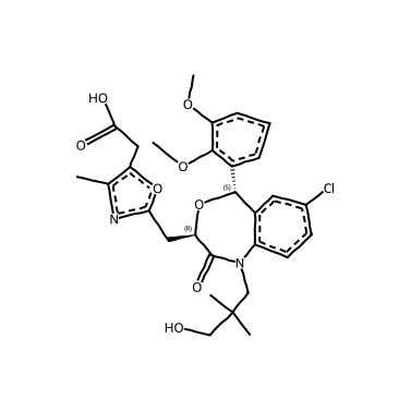 COc1cccc([C@H]2O[C@H](Cc3nc(C)c(CC(=O)O)o3)C(=O)N(CC(C)(C)CO)c3ccc(Cl)cc32)c1OC